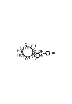 C#Cc1ccc(CN(C)[C@H]2C[C@@H](C)O[C@@H](O[C@@H]3[C@@H](C)[C@H](O)[C@@H](C)C(=O)O[C@H](CC)[C@@](C)(O)[C@H](O)[C@@H](C)C(=O)[C@H](C)C[C@@]3(C)OC)[C@H]2O)cc1